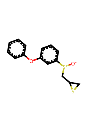 [O-][S+](CC1CS1)c1cccc(Oc2ccccc2)c1